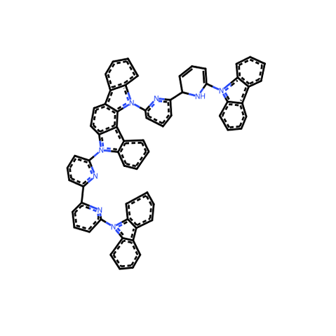 C1=CC(c2cccc(-n3c4ccccc4c4ccc5c(c6ccccc6n5-c5cccc(-c6cccc(-n7c8ccccc8c8ccccc87)n6)n5)c43)n2)NC(n2c3ccccc3c3ccccc32)=C1